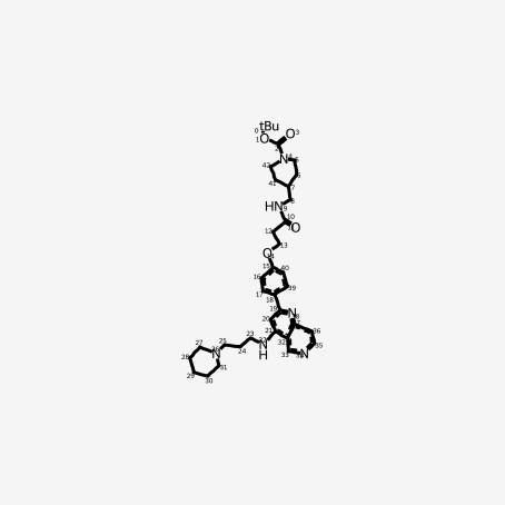 CC(C)(C)OC(=O)N1CCC(CNC(=O)CCOc2ccc(-c3cc(NCCCN4CCCCC4)c4cnccc4n3)cc2)CC1